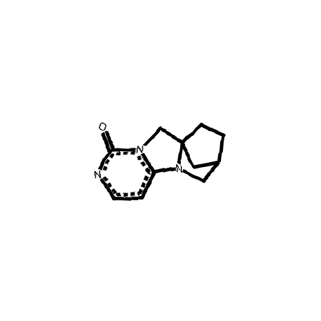 O=c1nccc2n1CC13CCC(CN21)C3